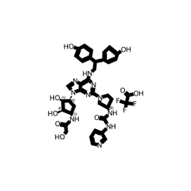 O=C(CO)N[C@H]1C[C@@H](n2cnc3c(NCC(c4ccc(O)cc4)c4ccc(O)cc4)nc(N4CC[C@@H](NC(=O)Nc5cccnc5)C4)nc32)[C@H](O)[C@@H]1O.O=C(O)C(F)(F)F